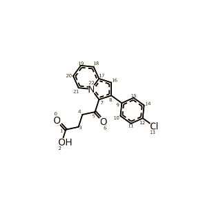 O=C(O)CCC(=O)c1c(-c2ccc(Cl)cc2)cc2ccccn12